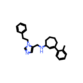 Cc1ccccc1C1=CC(NCc2cncn2CCc2ccccc2)CCCC1